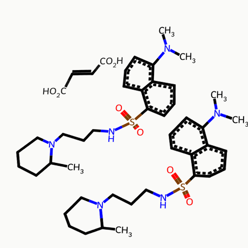 CC1CCCCN1CCCNS(=O)(=O)c1cccc2c(N(C)C)cccc12.CC1CCCCN1CCCNS(=O)(=O)c1cccc2c(N(C)C)cccc12.O=C(O)C=CC(=O)O